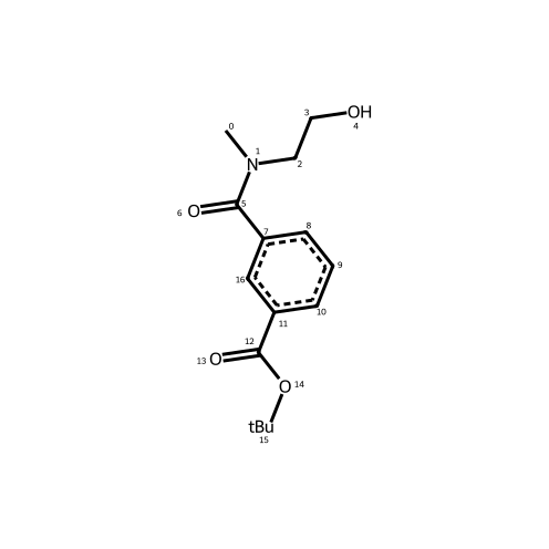 CN(CCO)C(=O)c1cccc(C(=O)OC(C)(C)C)c1